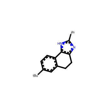 CC(C)c1nc2c([nH]1)-c1ccc(C(C)(C)C)cc1CC2